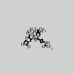 CC1(C)[C@@H]2[C@@H](C(=O)NC(C[C@@H]3CCNC3=O)C(=O)COC(F)(F)F)N(C(=O)C3CC(NC(=O)C(F)(F)F)C3)C[C@@H]21